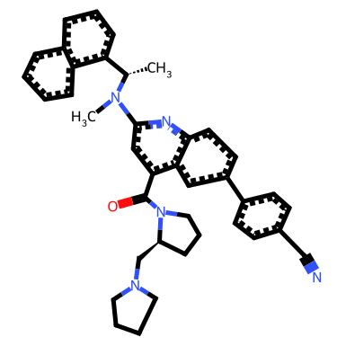 C[C@@H](c1cccc2ccccc12)N(C)c1cc(C(=O)N2CCC[C@H]2CN2CCCC2)c2cc(-c3ccc(C#N)cc3)ccc2n1